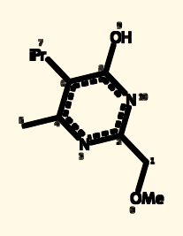 COCc1nc(C)c(C(C)C)c(O)n1